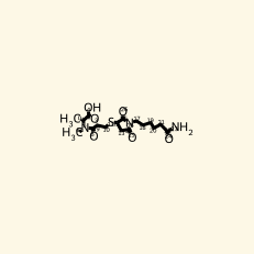 C[C@@H](C(=O)O)N(C)C(=O)CCSC1CC(=O)N(CCCCCC(N)=O)C1=O